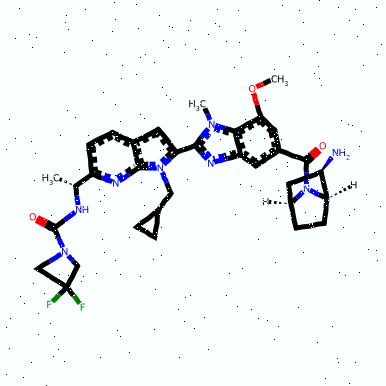 COc1cc(C(=O)N2[C@H]3CC[C@@H]2[C@H](N)C3)cc2nc(-c3cc4ccc([C@@H](C)NC(=O)N5CC(F)(F)C5)nc4n3CC3CC3)n(C)c12